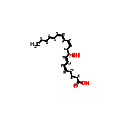 CCCCC/C=C\C/C=C\C[C@H](O)/C=C/C=C\CCCC(=O)O